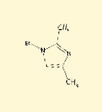 [CH2]Cn1cc(C)nc1C